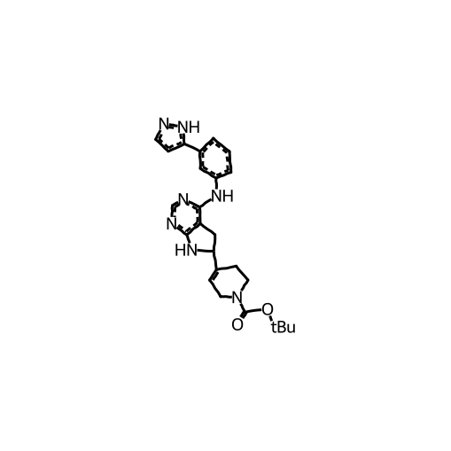 CC(C)(C)OC(=O)N1CC=C(C2Cc3c(Nc4cccc(-c5ccn[nH]5)c4)ncnc3N2)CC1